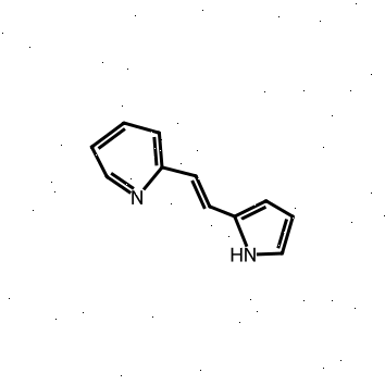 C(=Cc1ccc[nH]1)c1ccccn1